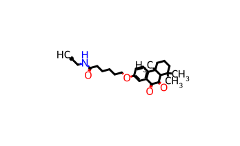 C#CCNC(=O)CCCCCOc1ccc2c(c1)C(=O)C(=O)C1C(C)(C)CCCC21C